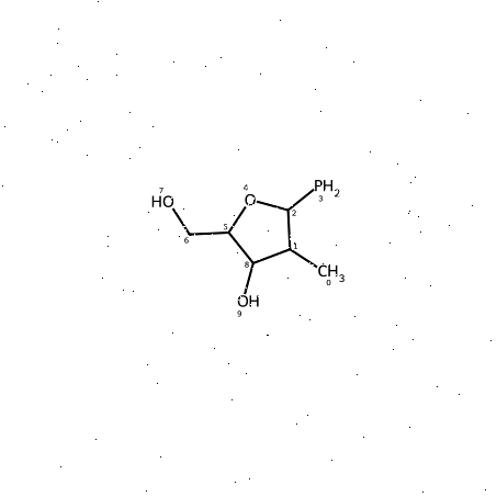 CC1C(P)OC(CO)C1O